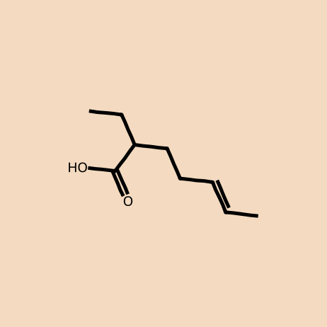 CC=CCCC(CC)C(=O)O